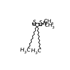 CCCCCCCCCCCCC1(CCCCCCCCCCCC)c2ccsc2-c2sc(N(C)C)cc21